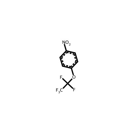 O=[N+]([O-])c1ccc(OC(F)(F)C(F)(F)F)cc1